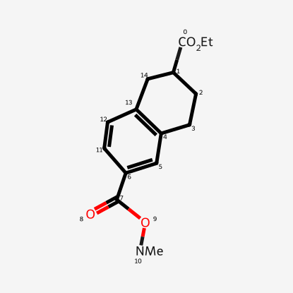 CCOC(=O)C1CCc2cc(C(=O)ONC)ccc2C1